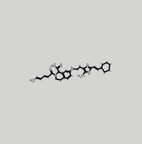 CC=CC=CC(=O)N1CCc2ccc(OCCc3nc(/C=C/C4CCCCC4)oc3C)cc2C1C(=O)O